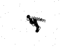 COc1cc2nc(N3CCN(C(=O)Cc4ccccc4)CC3)nc(NC(=O)[C@@H]3CCCN3C(=O)C(C)CSC(=O)c3ccccc3)c2cc1OC